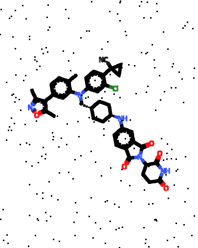 Cc1ccc(-c2c(C)noc2C)cc1N(C[C@H]1CC[C@H](Nc2ccc3c(c2)C(=O)N(C2CCC(=O)NC2=O)C3=O)CC1)c1ccc(C2(C#N)CC2)c(Cl)c1